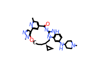 Cc1cc2cc(n1)-c1cnn(C)c1OCCC[C@@H](C1CC1)CN1/C(=N/C2=O)Nc2ccc(NC3CCN(C)CC3)cc21